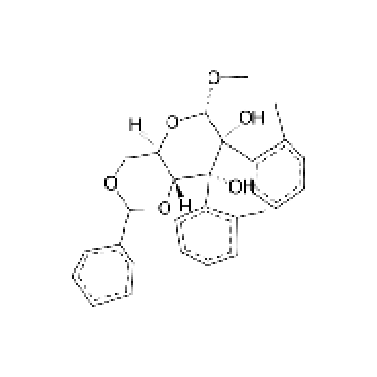 CO[C@H]1O[C@@H]2COC(c3ccccc3)O[C@H]2[C@](O)(c2ccccc2C)[C@]1(O)c1ccccc1C